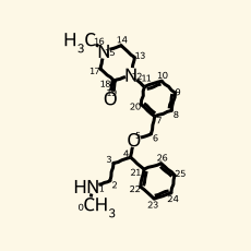 CNCCC(OCc1cccc(N2CCN(C)CC2=O)c1)c1ccccc1